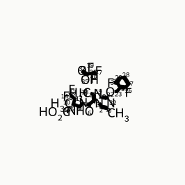 Cc1cn2c(C(=O)NCC(C)(CC(F)F)NC(=O)O)c(C)nc2c(OCc2c(F)cccc2F)n1.O=C(O)C(F)(F)F